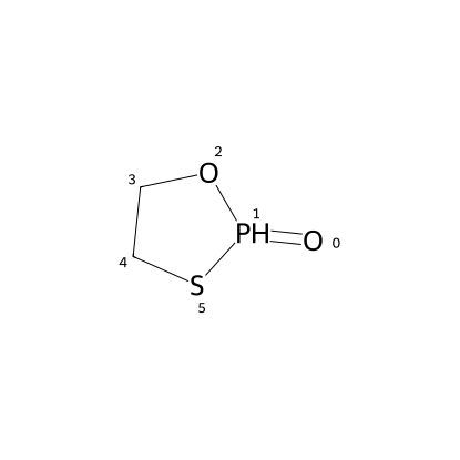 O=[PH]1OCCS1